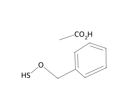 CC(=O)O.SOCc1ccccc1